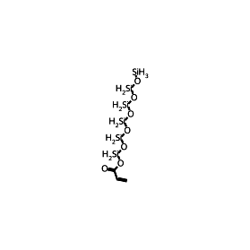 C=CC(=O)O[SiH2]O[SiH2]O[SiH2]O[SiH2]O[SiH2]O[SiH3]